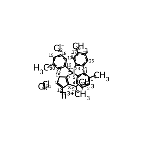 Cc1cccc([Si](C2=C(C(C)C)[C]([Ti+3])=CC2)(c2cccc(C)c2)c2cccc(C)c2)c1.[Cl-].[Cl-].[Cl-]